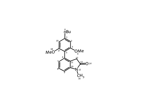 CCCCc1cc(OC)c(-c2cccc3c2CC(=O)N3C)c(OC)c1